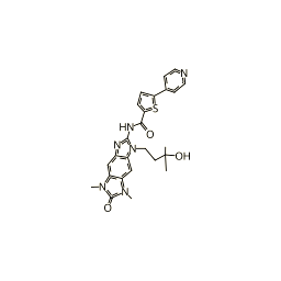 Cn1c(=O)n(C)c2cc3c(cc21)nc(NC(=O)c1ccc(-c2ccncc2)s1)n3CCC(C)(C)O